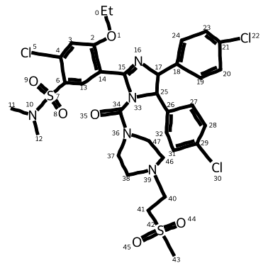 CCOc1cc(Cl)c(S(=O)(=O)N(C)C)cc1C1=NC(c2ccc(Cl)cc2)C(c2ccc(Cl)cc2)N1C(=O)N1CCN(CCS(C)(=O)=O)CC1